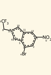 O=[N+]([O-])c1cc(Br)c2nn(CC(F)(F)F)cc2c1